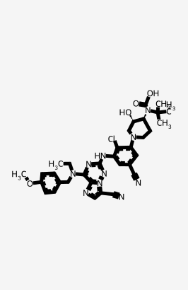 CCN(Cc1ccc(OC)cc1)c1nc(Nc2cc(C#N)cc(N3CC[C@@H](N(C(=O)O)C(C)(C)C)[C@@H](O)C3)c2Cl)nn2c(C#N)cnc12